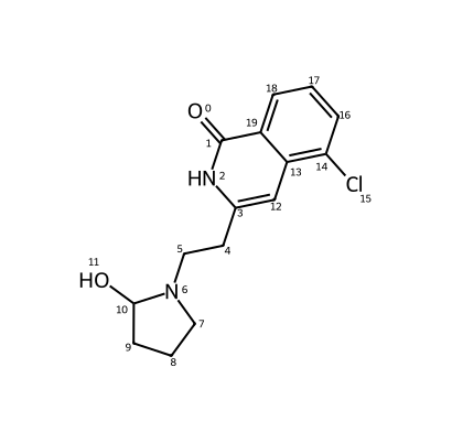 O=c1[nH]c(CCN2CCCC2O)cc2c(Cl)cccc12